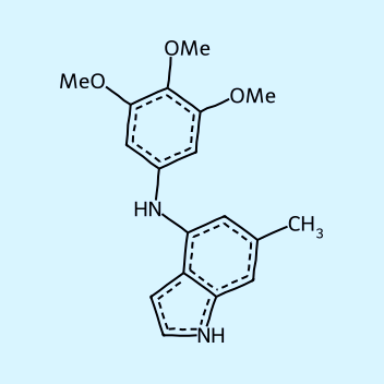 COc1cc(Nc2cc(C)cc3[nH]ccc23)cc(OC)c1OC